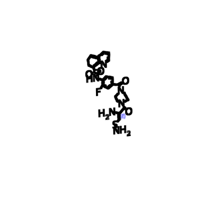 NS/C=C(\N)C(=O)N1CCN(C(=O)c2ccc(NS(=O)(=O)C3=c4ncccc4=CCC3)c(F)c2)CC1